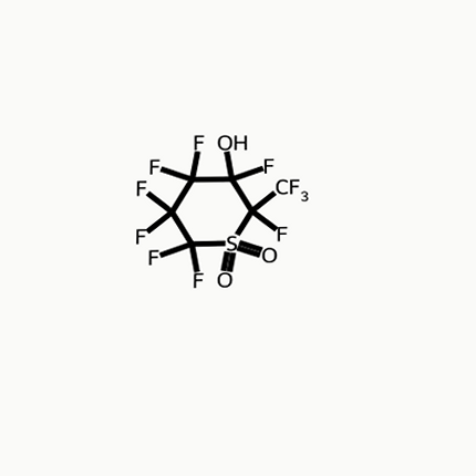 O=S1(=O)C(F)(F)C(F)(F)C(F)(F)C(O)(F)C1(F)C(F)(F)F